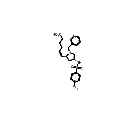 O=C(O)CCC/C=C\[C@@H]1C[C@@H](NS(=O)(=O)c2ccc(C(F)(F)F)cc2)CN1Cc1cccnc1